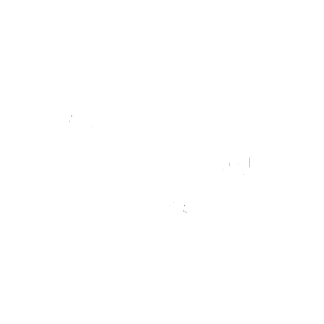 CC(=O)OCC(=CC(=O)O)COC(C)=O